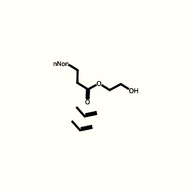 C=CC.C=CC.CCCCCCCCCCCC(=O)OCCO